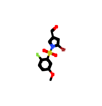 COc1ccc(F)c(S(=O)(=O)n2cc(C=O)cc2Br)c1